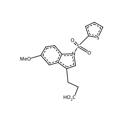 COc1ccc2c(c1)c(CCC(=O)O)cn2S(=O)(=O)c1cccs1